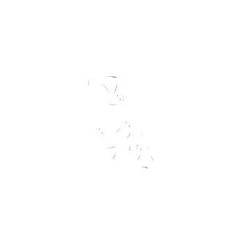 CCc1cccc(NC(=O)CSC2=C(C#N)C(c3ccsc3)C(C(=O)Nc3ccccc3)=C(C)N2)c1